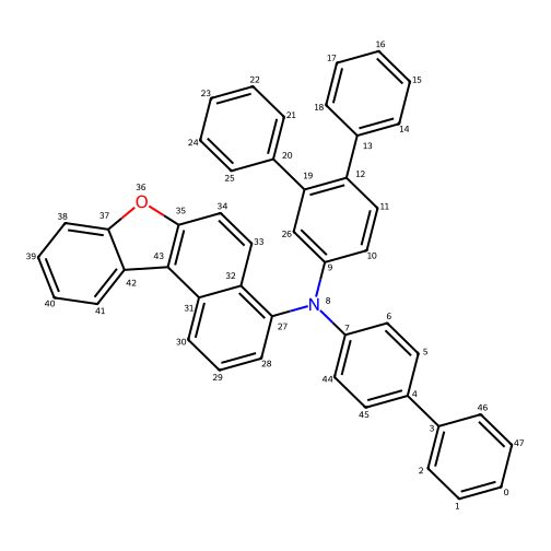 c1ccc(-c2ccc(N(c3ccc(-c4ccccc4)c(-c4ccccc4)c3)c3cccc4c3ccc3oc5ccccc5c34)cc2)cc1